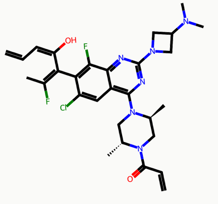 C=C/C=C(O)\C(=C(/C)F)c1c(Cl)cc2c(N3C[C@@H](C)N(C(=O)C=C)C[C@@H]3C)nc(N3CC(N(C)C)C3)nc2c1F